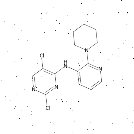 Clc1ncc(Cl)c(Nc2cccnc2N2CCCCC2)n1